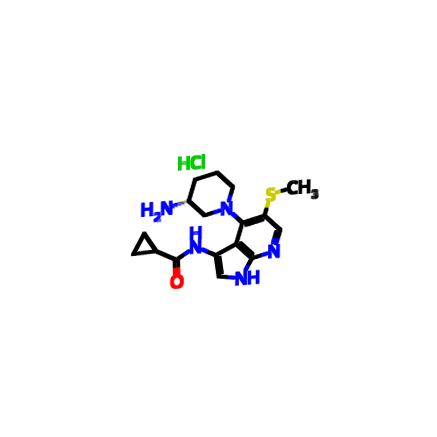 CSc1cnc2[nH]cc(NC(=O)C3CC3)c2c1N1CCC[C@@H](N)C1.Cl